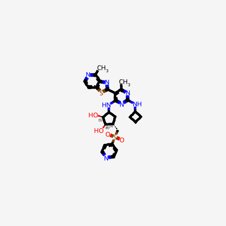 Cc1nc(NC2CCC2)nc(NC2C[C@H](CS(=O)(=O)c3ccncc3)[C@@H](O)[C@H]2O)c1-c1nc2c(C)nccc2s1